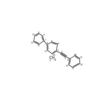 C.C(#Cc1ccc(-c2ccccc2)cc1)c1ccccc1